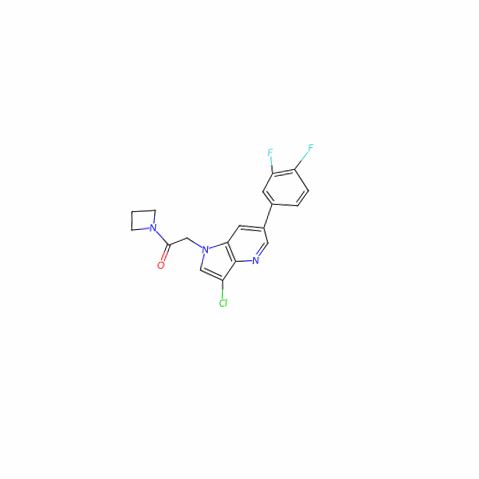 O=C(Cn1cc(Cl)c2ncc(-c3ccc(F)c(F)c3)cc21)N1CCC1